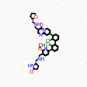 COc1nc(-c2cccc(-c3cccc(-c4ccn5c(=O)c(CNC[C@H]6CCCO6)cnc5c4)c3Cl)c2Cl)ccc1CNC[C@H]1CCC(=O)N1